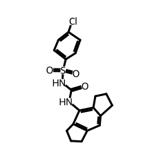 O=C(Nc1c2c(cc3c1CCC3)CCC2)NS(=O)(=O)c1ccc(Cl)cc1